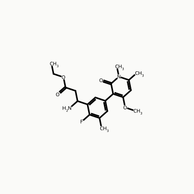 CCOC(=O)CC(N)c1cc(-c2c(OC)cc(C)n(C)c2=O)cc(C)c1F